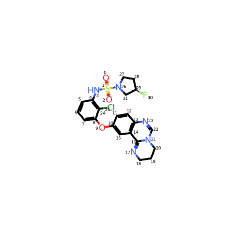 O=S(=O)(Nc1cccc(Oc2ccc3c(c2)C2=NCCCN2C=N3)c1Cl)N1CC[C@@H](F)C1